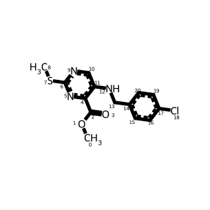 COC(=O)c1nc(SC)ncc1NCc1ccc(Cl)cc1